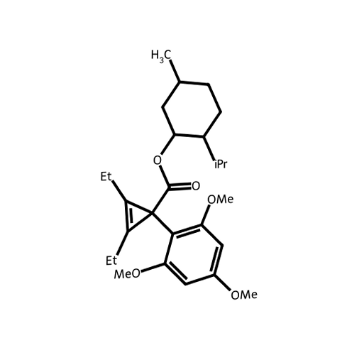 CCC1=C(CC)C1(C(=O)OC1CC(C)CCC1C(C)C)c1c(OC)cc(OC)cc1OC